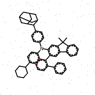 CC1(C)c2ccccc2-c2cc(-c3ccccc3-c3ccccc3)c(N(c3ccc(C4CCCCC4)cc3)c3ccc(C4C5CC6CC(C5)CC4C6)cc3)cc21